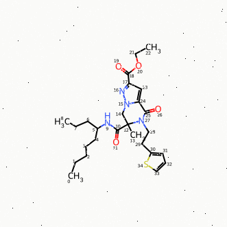 CCCCCC(CCC)NC(=O)C1(C)Cn2nc(C(=O)OCC)cc2C(=O)N1CCc1cccs1